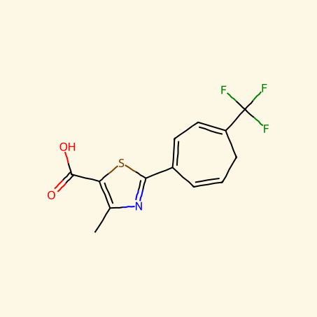 Cc1nc(C2=CC=C(C(F)(F)F)CC=C2)sc1C(=O)O